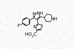 O=C(O)c1csc(-c2c(-c3ccc(F)cc3)n[nH]c2C2CCNCC2)n1